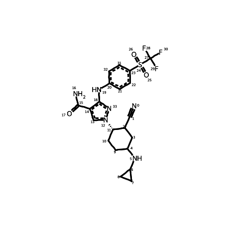 N#CC1CC(NC2CC2)CC[C@@H]1n1cc(C(N)=O)c(Nc2ccc(S(=O)(=O)C(F)(F)F)cc2)n1